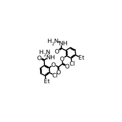 CCc1ccc(C(=O)NN)c(OC(=O)C(=O)Oc2c(C(=O)NN)ccc(CC)c2Cl)c1Cl